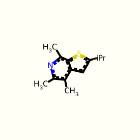 Cc1nc(C)c2sc(C(C)C)cc2c1C